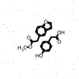 COC(=O)Cc1ccc2occc2c1.O=C(O)Cc1ccc(O)cc1